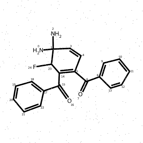 NC1(N)C=CC(C(=O)c2ccccc2)=C(C(=O)c2ccccc2)C1F